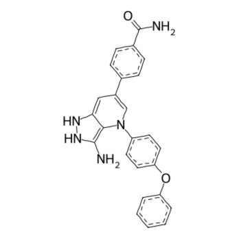 NC(=O)c1ccc(C2=CN(c3ccc(Oc4ccccc4)cc3)C3=C(N)NNC3=C2)cc1